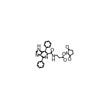 O=C(CCNC(=O)c1nc(-c2ccccc2)c2nc[nH]c2c1-c1ccccc1)ON1C(=O)CCC1=O